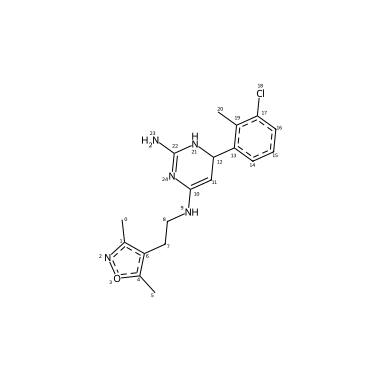 Cc1noc(C)c1CCNC1=CC(c2cccc(Cl)c2C)NC(N)=N1